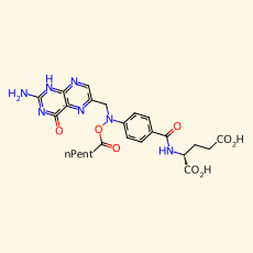 CCCCCC(=O)ON(Cc1cnc2[nH]c(N)nc(=O)c2n1)c1ccc(C(=O)N[C@@H](CCC(=O)O)C(=O)O)cc1